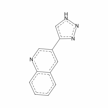 c1ccc2ncc(-c3c[nH]nn3)cc2c1